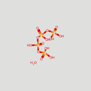 O.O=P(O)(O)OP(=O)(O)OP(=O)(O)OP(=O)(O)O